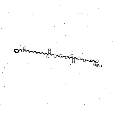 CC(C)(C)OC(=O)CCOCCOCCOCCNC(=O)CCOCCOCCOCCNC(=O)CCCCCCCCCCCCC(=O)OCc1ccccc1